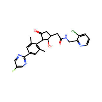 Cc1cc(-c2ncc(F)cn2)cc(C)c1C1C(=O)CC(CC(=O)NCc2ncccc2Cl)C1O